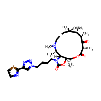 B[C@@H]1[C@@H](C)C(=O)[C@@H](C)C(=O)O[C@H](CC)[C@@]2(C)OC(=O)N(C/C=C/Cn3cc(-c4nccs4)nn3)[C@@H]2[C@H](C)N(C)CCC[C@@]1(C)OC